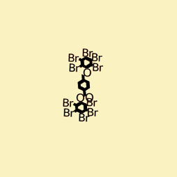 O=C(Oc1c(Br)c(Br)c(Br)c(Br)c1Br)c1ccc(COc2c(Br)c(Br)c(Br)c(Br)c2Br)cc1